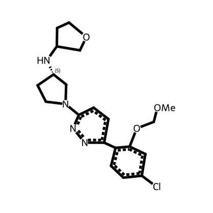 COCOc1cc(Cl)ccc1-c1ccc(N2CC[C@H](NC3CCOC3)C2)nn1